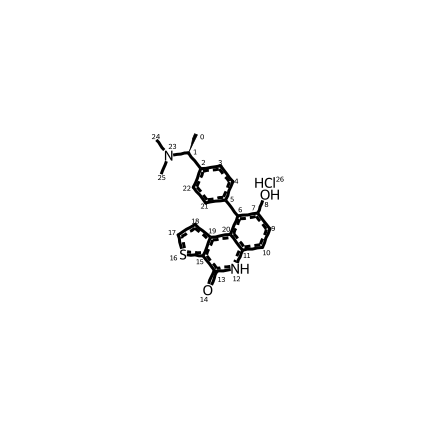 C[C@@H](c1ccc(-c2c(O)ccc3[nH]c(=O)c4sccc4c23)cc1)N(C)C.Cl